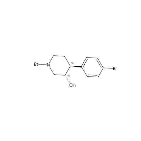 CCN1CC[C@@H](c2ccc(Br)cc2)[C@H](O)C1